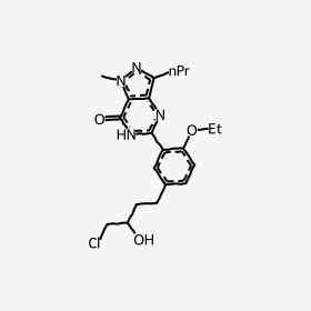 CCCc1nn(C)c2c(=O)[nH]c(-c3cc(CCC(O)CCl)ccc3OCC)nc12